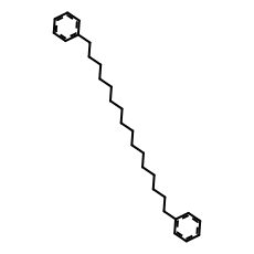 c1ccc(CCCCCCCCCCCCCCCCc2ccccc2)cc1